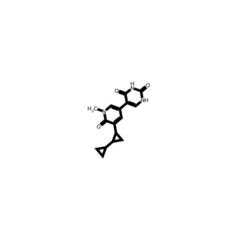 Cn1cc(-c2c[nH]c(=O)[nH]c2=O)cc(C2CC2C2CC2)c1=O